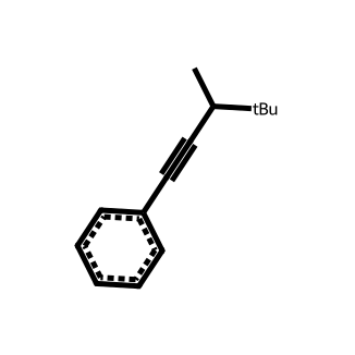 CC(C#Cc1ccccc1)C(C)(C)C